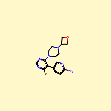 CCc1ncnc(N2CCN(C3COC3)CC2)c1-c1ccc(N)nc1